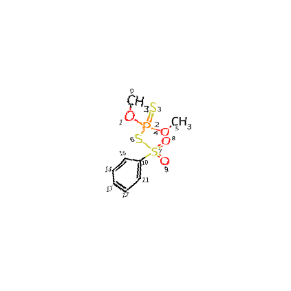 COP(=S)(OC)SS(=O)(=O)c1ccccc1